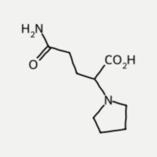 NC(=O)CCC(C(=O)O)N1CCCC1